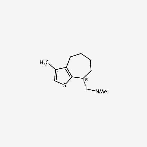 CNC[C@H]1CCCCc2c(C)csc21